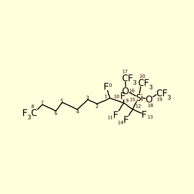 FC(CCCCCCC(F)(F)F)C(F)(F)C(F)(F)[Si](OC(F)(F)F)(OC(F)(F)F)C(F)(F)F